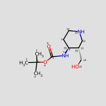 CC(C)(C)OC(=O)N[C@H]1CCNC[C@@H]1CO